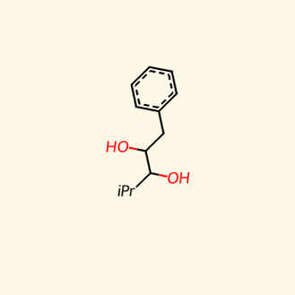 CC(C)C(O)C(O)Cc1ccccc1